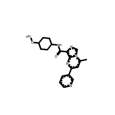 CCCOC1CCC(NC(=O)c2ncn3c(C)cc(-c4cccnc4)nc23)CC1